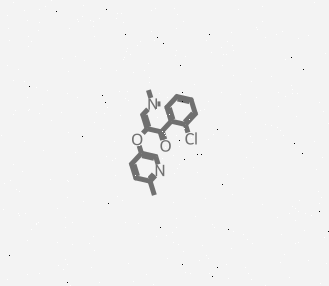 Cc1ccc(O/C(=C/N(C)C)C(=O)c2ccccc2Cl)cn1